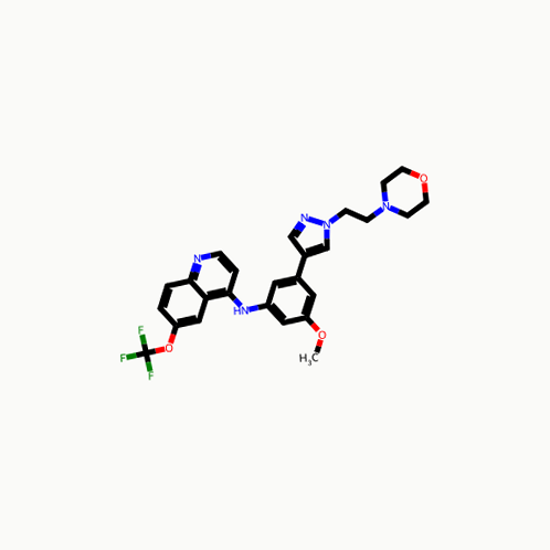 COc1cc(Nc2ccnc3ccc(OC(F)(F)F)cc23)cc(-c2cnn(CCN3CCOCC3)c2)c1